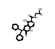 O=C(O)CNC(=O)c1ncc2[nH]c(=O)c(C(c3ccccc3)c3ccccc3)cc2c1O